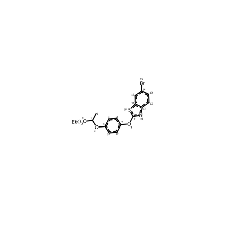 CCOC(=O)C(C)Oc1ccc(Oc2nc3ccc(Br)cc3s2)cc1